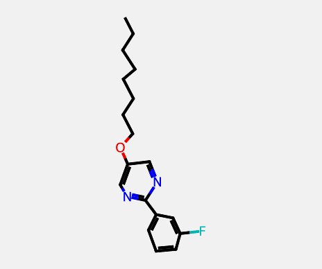 CCCCCCCCOc1cnc(-c2cccc(F)c2)nc1